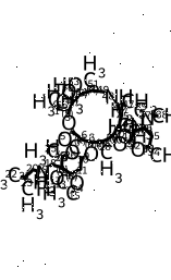 CC[C@@H]1OC(=O)[C@H](C)[C@H](OC2C[C@@](C)(OC)[C@](O)(CNCC(C)C)[C@H](C)O2)[C@@H](C)[C@@H](O[C@@H]2O[C@H](C)C[C@H](N(C)C)[C@H]2O)[C@](C)(O)C[C@@H](C)NC[C@@H](C)[C@H](O)[C@]1(C)O